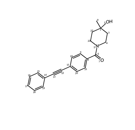 CC1(O)CCN(C(=O)c2ccc(C#Cc3ccccc3)cc2)CC1